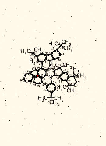 CC(C)(C)c1ccc(N2C3=C(B4c5c2cc2c(oc6ccccc62)c5-c2cc(C(C)(C)C)cc5c6cc(C(C)(C)C)ccc6n4c25)C(C)(C)c2cc4c(cc23)C(C)(C)CCC4(C)C)c(-c2ccccc2)c1